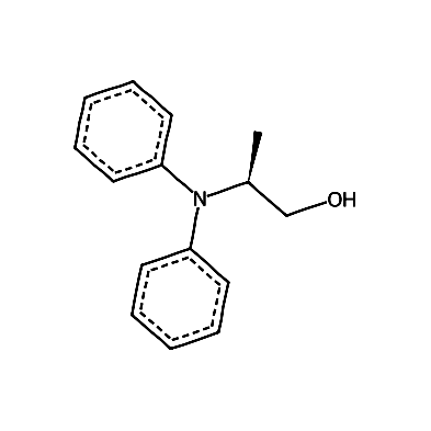 C[C@@H](CO)N(c1ccccc1)c1ccccc1